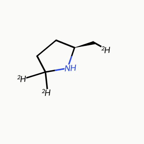 [2H]C[C@@H]1CCC([2H])([2H])N1